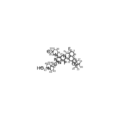 CCc1c(F)ccc2cc(O[Si](C(C)C)(C(C)C)C(C)C)cc(-c3ncc4c(N5CCCC6(COC6)C5)nc(OC[C@@]56CCCN5[C@H](CO)CC6)nc4c3F)c12